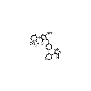 CCCc1cn(-c2c(F)cccc2C(=O)O)c(=O)n1Cc1ccc(-c2cnccc2-c2nnn[nH]2)cc1